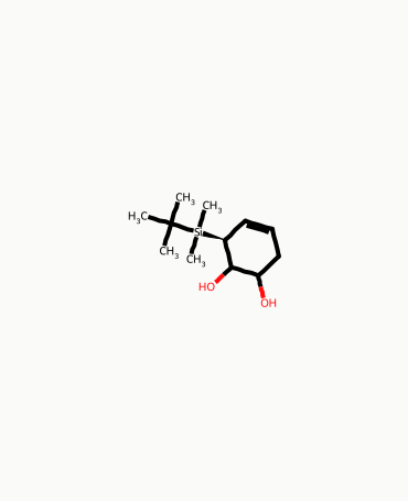 CC(C)(C)[Si](C)(C)[C@H]1C=CCC(O)C1O